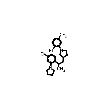 CCc1ccc(C(F)(F)F)cc1N1CCC(CC(C)c2ccc(Cl)cc2N2CCCC2)C1